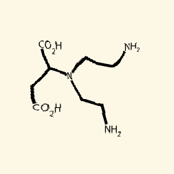 NCCN(CCN)C(CC(=O)O)C(=O)O